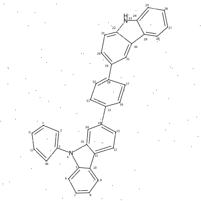 c1ccc(-n2c3ccccc3c3ccc(-c4ccc(-c5ccc6[nH]c7ccccc7c6c5)cc4)cc32)cc1